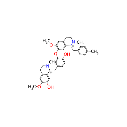 COc1cc2c(cc1O)[C@@H](Cc1ccc(O)c(Oc3cc4c(cc3OC)CCN(C)[C@@H]4Cc3ccc(C)cc3)c1)N(C)CC2